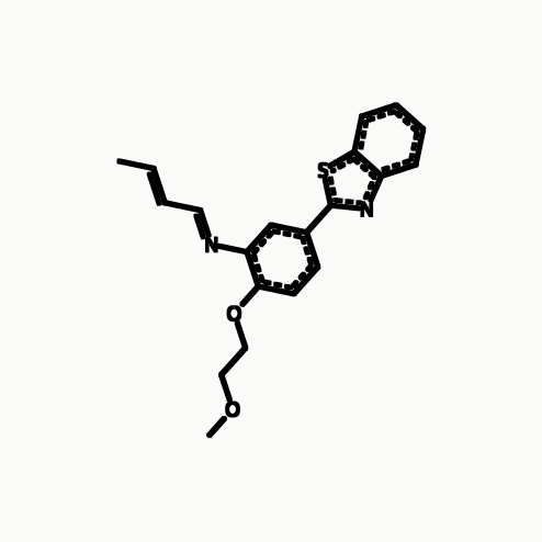 C/C=C/C=Nc1cc(-c2nc3ccccc3s2)ccc1OCCOC